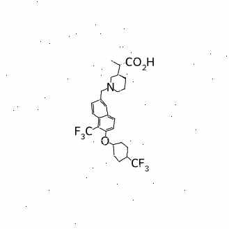 C[C@H](C(=O)O)[C@H]1CCCN(Cc2ccc3c(C(F)(F)F)c(OC4CCC(C(F)(F)F)CC4)ccc3c2)C1